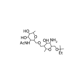 CCC(C)(C)OCC1OC(C)C(COCC2OC(C)C(O)C(O)C2NC(C)=O)C(O)C1N